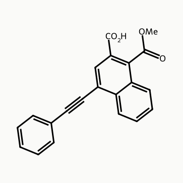 COC(=O)c1c(C(=O)O)cc(C#Cc2ccccc2)c2ccccc12